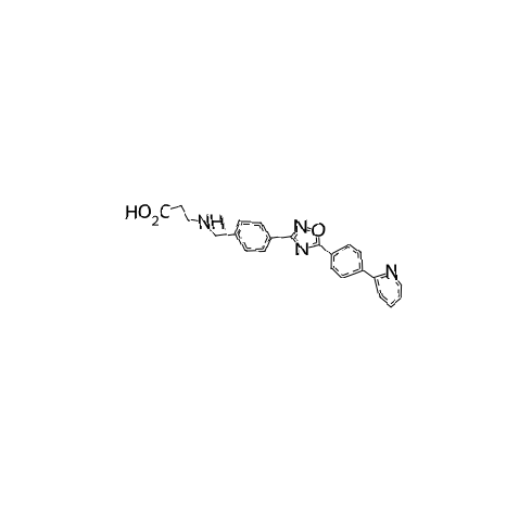 O=C(O)CCNCc1ccc(-c2noc(-c3ccc(-c4ccccn4)cc3)n2)cc1